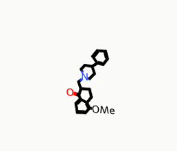 COc1cccc2c1CCC(CN1CCC(c3ccccc3)CC1)C2=O